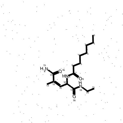 CCCCCCCC(=O)NC(/C=C(/C)C(N)=O)C(=O)NCC